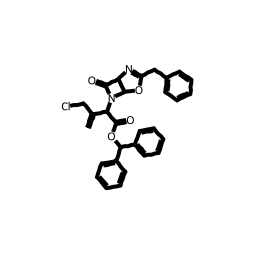 C=C(CCl)C(C(=O)OC(c1ccccc1)c1ccccc1)N1C(=O)C2N=C(Cc3ccccc3)OC21